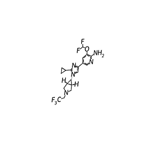 Nc1ncc(-c2cn([C@@H]3[C@@H]4CN(CC(F)(F)F)C[C@@H]43)c(C3CC3)n2)cc1OC(F)F